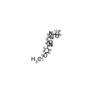 CCCOc1ccc(-c2cc(CC3C=NC(c4ccco4)=N3)on2)cc1